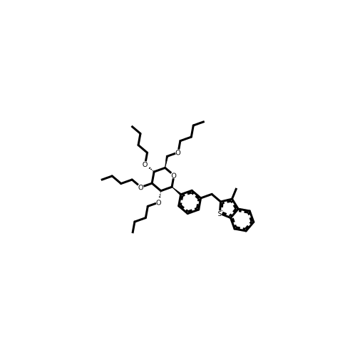 CCCCOC[C@H]1O[C@@H](c2cccc(Cc3sc4ccccc4c3C)c2)[C@H](OCCCC)C(OCCCC)[C@@H]1OCCCC